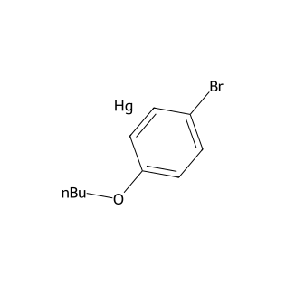 CCCCOc1ccc(Br)cc1.[Hg]